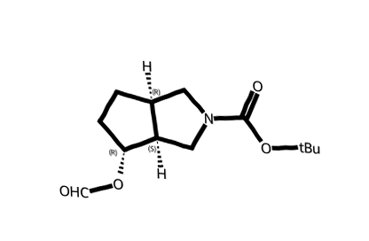 CC(C)(C)OC(=O)N1C[C@@H]2CC[C@@H](OC=O)[C@@H]2C1